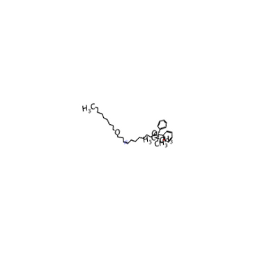 CCCCCCCCCOCC/C=C\CCCCCCO[Si](c1ccccc1)(c1ccccc1)C(C)(C)C